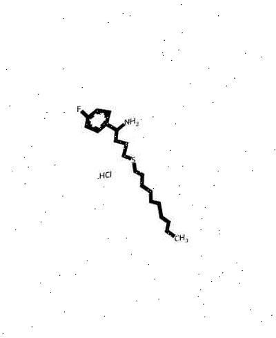 CCCCCCCCCCSCCCC(N)c1ccc(F)cc1.Cl